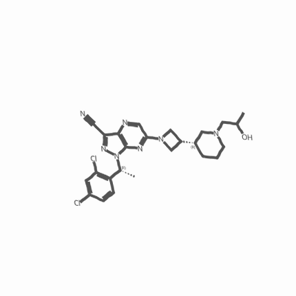 CC(O)CN1CCC[C@H](C2CN(c3cnc4c(C#N)nn([C@H](C)c5ccc(Cl)cc5Cl)c4n3)C2)C1